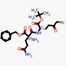 CC(C)(C)OC(=O)[C@H](CCC(=O)CBr)NC(=O)[C@@](N)(CCC(N)=O)C(=O)OCc1ccccc1